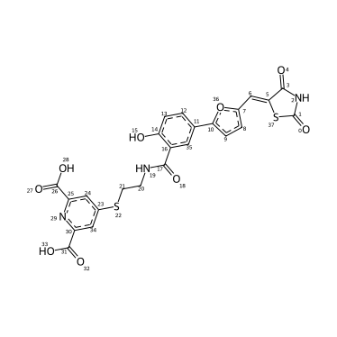 O=C1NC(=O)C(=Cc2ccc(-c3ccc(O)c(C(=O)NCCSc4cc(C(=O)O)nc(C(=O)O)c4)c3)o2)S1